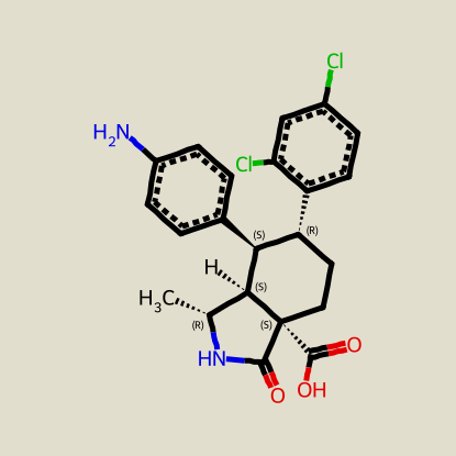 C[C@H]1NC(=O)[C@]2(C(=O)O)CC[C@@H](c3ccc(Cl)cc3Cl)[C@H](c3ccc(N)cc3)[C@H]12